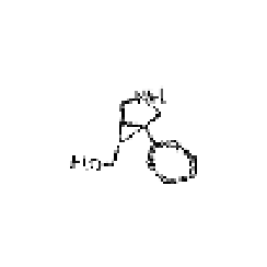 OCC1C2CNCC12c1ccccc1